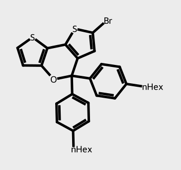 CCCCCCc1ccc(C2(c3ccc(CCCCCC)cc3)Oc3ccsc3-c3sc(Br)cc32)cc1